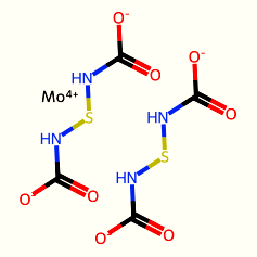 O=C([O-])NSNC(=O)[O-].O=C([O-])NSNC(=O)[O-].[Mo+4]